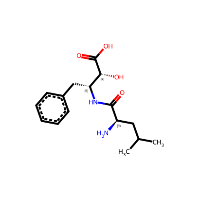 CC(C)C[C@@H](N)C(=O)N[C@H](Cc1ccccc1)[C@@H](O)C(=O)O